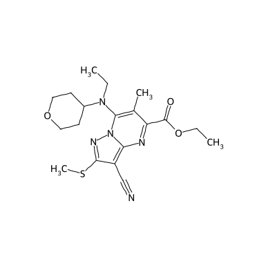 CCOC(=O)c1nc2c(C#N)c(SC)nn2c(N(CC)C2CCOCC2)c1C